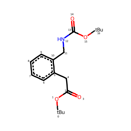 CC(C)(C)OC(=O)Cc1ccccc1CNC(=O)OC(C)(C)C